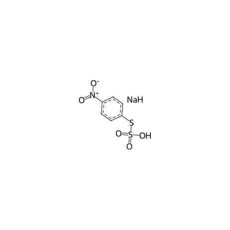 O=[N+]([O-])c1ccc(SS(=O)(=O)O)cc1.[NaH]